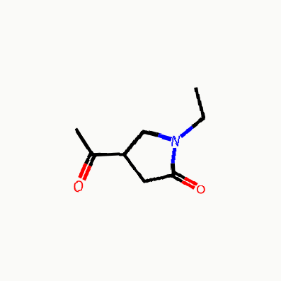 CCN1CC(C(C)=O)CC1=O